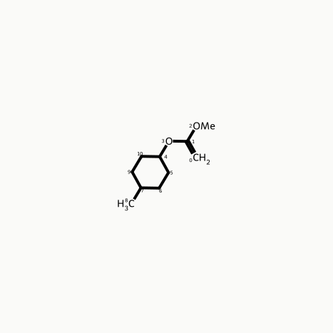 C=C(OC)OC1CCC(C)CC1